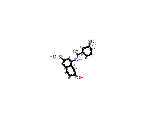 O=C(Nc1cc(S(=O)(=O)O)cc2ccc(O)cc12)c1cccc([N+](=O)[O-])c1